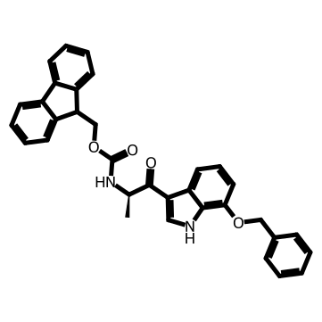 C[C@@H](NC(=O)OCC1c2ccccc2-c2ccccc21)C(=O)c1c[nH]c2c(OCc3ccccc3)cccc12